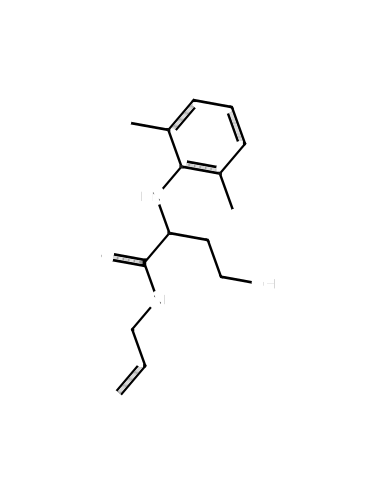 C=CCNC(=O)C(CCO)Nc1c(C)cccc1C